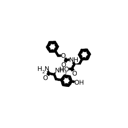 NC(=O)[C@@H](N)Cc1ccc(O)cc1.O=C(N[C@@H](Cc1ccccc1)C(=O)O)OCc1ccccc1